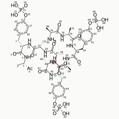 CC(=O)[C@H](C)NC(=O)[C@H](Cc1ccc(OP(=O)(O)O)cc1)NC(=O)[C@H](C)NC(=O)[C@H](C)NC(=O)[C@H](Cc1ccc(OP(=O)(O)O)cc1)NC(=O)[C@H](C)NC(=O)[C@H](C)NC(=O)[C@H](Cc1ccc(OP(=O)(O)O)cc1)NC(=O)[C@H](C)NC(=O)[C@H](C)N